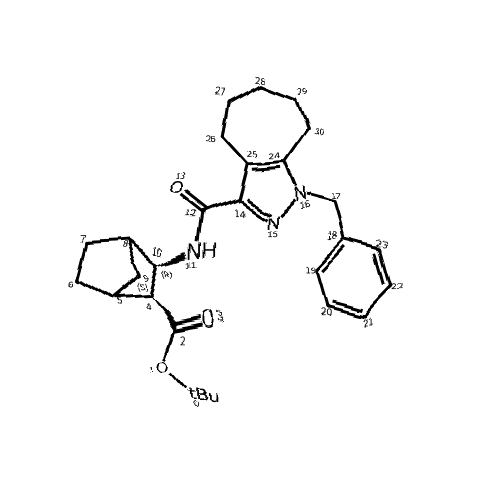 CC(C)(C)OC(=O)[C@H]1C2CCC(C2)[C@H]1NC(=O)c1nn(Cc2ccccc2)c2c1CCCCC2